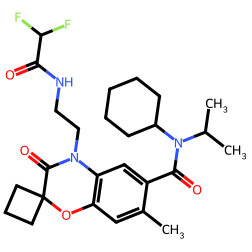 Cc1cc2c(cc1C(=O)N(C(C)C)C1CCCCC1)N(CCNC(=O)C(F)F)C(=O)C1(CCC1)O2